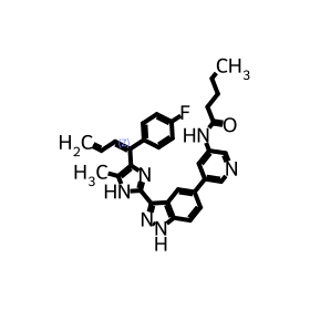 C=C/C=C(/c1ccc(F)cc1)c1nc(-c2n[nH]c3ccc(-c4cncc(NC(=O)CCCC)c4)cc23)[nH]c1C